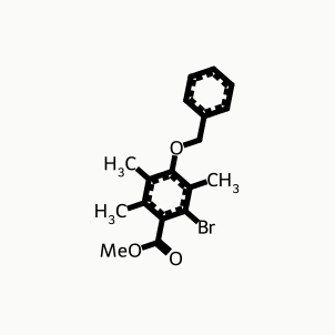 COC(=O)c1c(C)c(C)c(OCc2ccccc2)c(C)c1Br